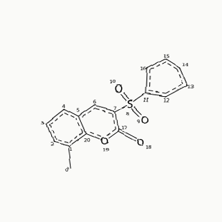 Cc1cccc2cc(S(=O)(=O)c3ccccc3)c(=O)oc12